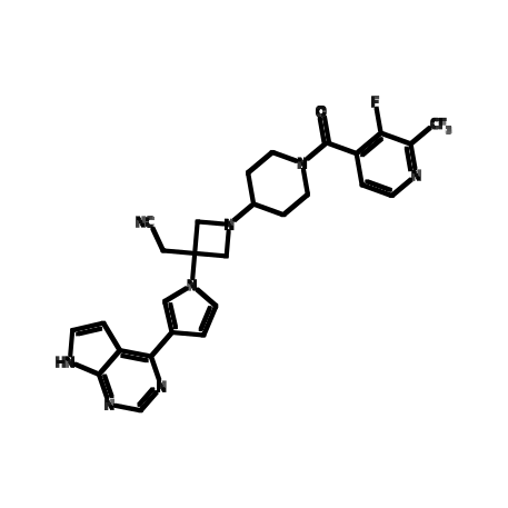 N#CCC1(n2ccc(-c3ncnc4[nH]ccc34)c2)CN(C2CCN(C(=O)c3ccnc(C(F)(F)F)c3F)CC2)C1